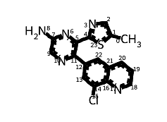 Cc1cnc(-c2nc(N)cnc2-c2cc(Cl)c3ncccc3c2)s1